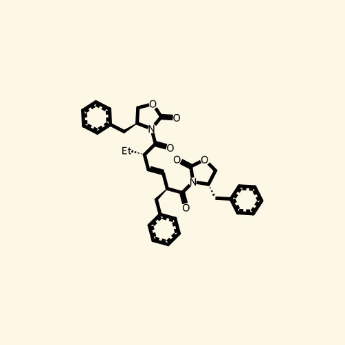 CC[C@@H](/C=C/[C@H](Cc1ccccc1)C(=O)N1C(=O)OC[C@@H]1Cc1ccccc1)C(=O)N1C(=O)OC[C@@H]1Cc1ccccc1